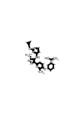 Cc1nc(-c2nnn(C)c2Nc2ccnc(OC3CC3)n2)ccc1O[C@H]1CCC[C@H](C(C)O)C1